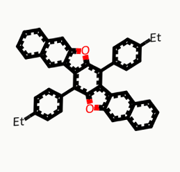 CCc1ccc(-c2c3oc4cc5ccccc5cc4c3c(-c3ccc(CC)cc3)c3oc4cc5ccccc5cc4c23)cc1